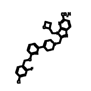 O=C(O)c1ccc2nc(CN3CC=C(c4cccc(OCc5ccc(Cl)cc5F)n4)CC3)n(CC3CCO3)c2n1